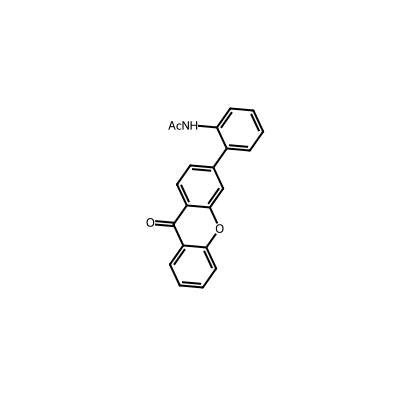 CC(=O)Nc1ccccc1-c1ccc2c(=O)c3ccccc3oc2c1